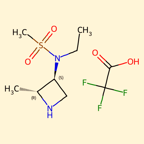 CCN([C@H]1CN[C@@H]1C)S(C)(=O)=O.O=C(O)C(F)(F)F